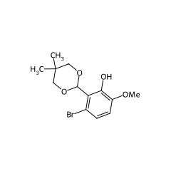 COc1ccc(Br)c(C2OCC(C)(C)CO2)c1O